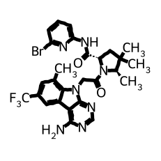 Cc1cc(C(F)(F)F)cc2c3c(N)ncnc3n(CC(=O)N3[C@H](C(=O)Nc4cccc(Br)n4)CC(C)(C)[C@H]3C)c12